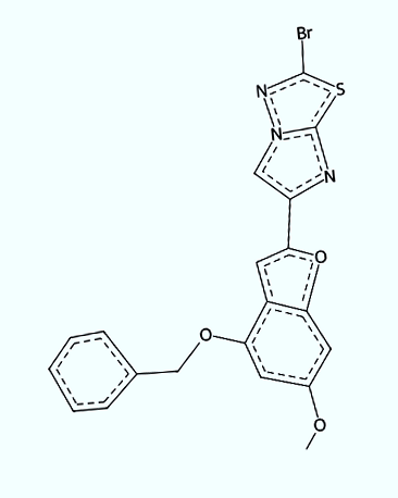 COc1cc(OCc2ccccc2)c2cc(-c3cn4nc(Br)sc4n3)oc2c1